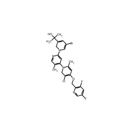 CC1=CC(OCc2ncc(F)cc2F)=C(Cl)CN1c1cc(N2C=C(Br)C=C(C(C)(C)O)C2)ncc1C